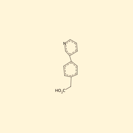 O=C(O)Cc1ccc(-c2cccnc2)cc1